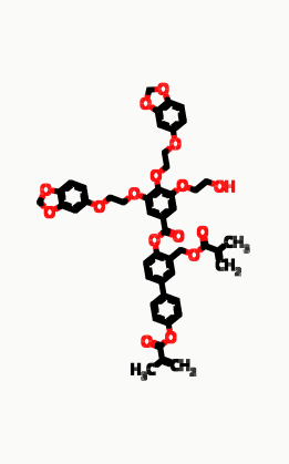 C=C(C)C(=O)OCc1cc(-c2ccc(OC(=O)C(=C)C)cc2)ccc1OC(=O)c1cc(OCCO)c(OCCOc2ccc3c(c2)OCO3)c(OCCOc2ccc3c(c2)OCO3)c1